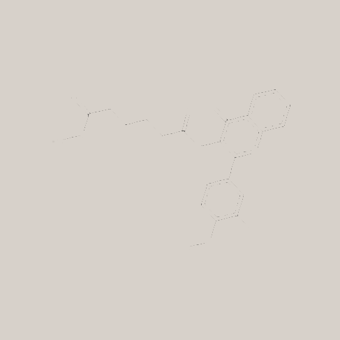 CCCCOC(=O)CCCCC(=O)Oc1c(-c2ccc(OCCCC)c(O)c2)oc2ccccc2c1=O